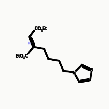 CCOC(=O)/C=C(\CCCCn1ccnc1)C(=O)OCC